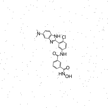 CN(C)c1ccc2[nH]c(-c3cc(NC(=O)c4cccc(C(=O)NO)c4)ccc3Cl)nc2c1